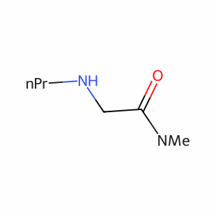 CCCNCC(=O)NC